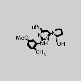 CCCc1cc(N2CCC[C@H]2CO)nc(Nc2cc(OC)ccc2C)n1